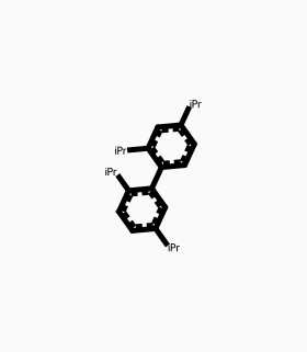 CC(C)c1c[c]c(C(C)C)c(-c2ccc(C(C)C)cc2C(C)C)c1